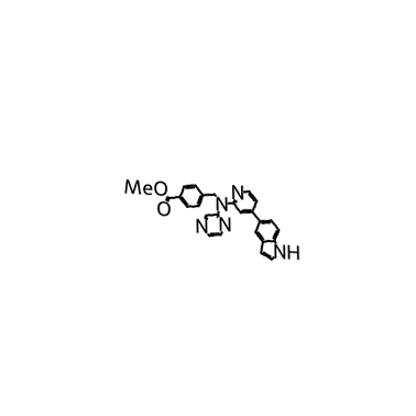 COC(=O)c1ccc(CN(c2cnccn2)c2cc(-c3ccc4[nH]ccc4c3)ccn2)cc1